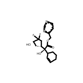 Cl.O=C(OCc1ccncn1)[C@](O)(C1C=CCCC1)[C@@H]1CCC(F)(F)C1